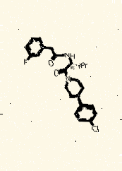 CC(C)[C@@H](NC(=O)Cc1cccc(F)c1)C(=O)N1CCC(c2ccc(Cl)cc2)CC1